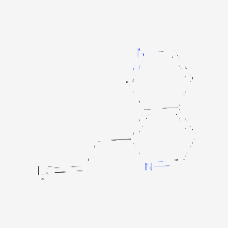 C=CCc1nccc2ccncc12